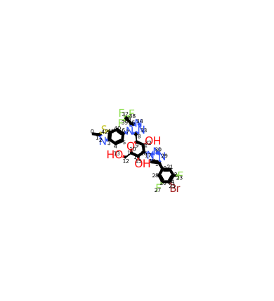 Cc1nc2ccc(-n3c([C@@H]4O[C@H](CO)[C@H](O)[C@H](n5cc(-c6cc(F)c(Br)c(F)c6)nn5)[C@H]4O)nnc3C(F)(F)F)cc2s1